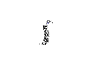 C/C=C/CCc1ccc(C2CCC(c3ccc(CCc4ccc(OCCCC)c(F)c4F)c(F)c3F)CC2)c(F)c1F